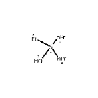 CCC[Si](O)(CC)CCC